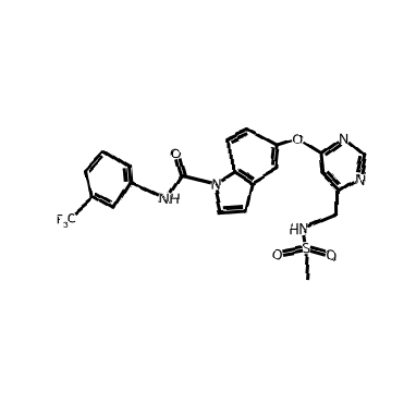 CS(=O)(=O)NCc1cc(Oc2ccc3c(ccn3C(=O)Nc3cccc(C(F)(F)F)c3)c2)ncn1